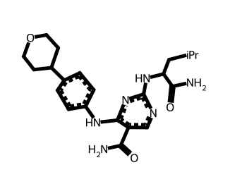 CC(C)CC(Nc1ncc(C(N)=O)c(Nc2ccc(C3CCOCC3)cc2)n1)C(N)=O